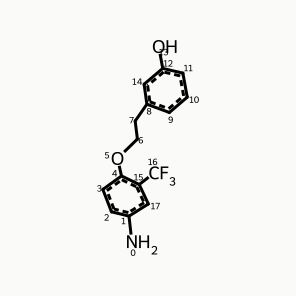 Nc1ccc(OCCc2cccc(O)c2)c(C(F)(F)F)c1